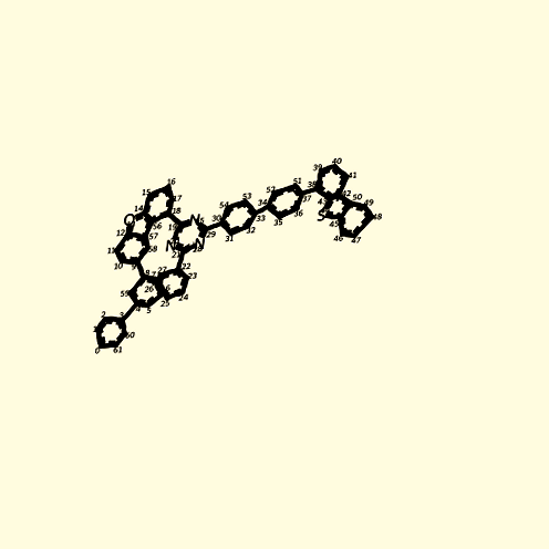 c1ccc(-c2cccc(-c3ccc4oc5cccc(-c6nc(-c7ccccc7)nc(-c7ccc(-c8ccc(-c9cccc%10c9sc9ccccc9%10)cc8)cc7)n6)c5c4c3)c2)cc1